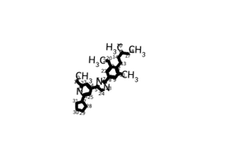 CCc1cc(C2=NC(c3cc(C)c(CCC(C)CC)c(CC)c3)=NC2)cc(C2CCCC2)n1